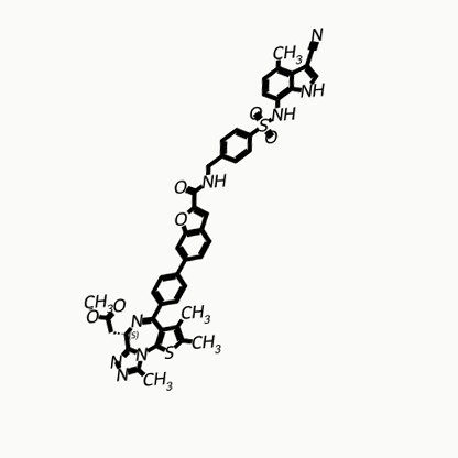 COC(=O)C[C@@H]1N=C(c2ccc(-c3ccc4cc(C(=O)NCc5ccc(S(=O)(=O)Nc6ccc(C)c7c(C#N)c[nH]c67)cc5)oc4c3)cc2)c2c(sc(C)c2C)-n2c(C)nnc21